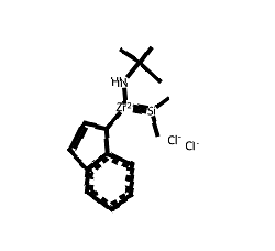 C[Si](C)=[Zr+2]([NH]C(C)(C)C)[CH]1C=Cc2ccccc21.[Cl-].[Cl-]